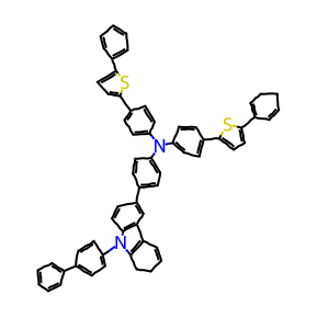 C1=CC(c2ccc(-c3ccc(N(c4ccc(-c5ccc6c(c5)c5c(n6-c6ccc(-c7ccccc7)cc6)CCC=C5)cc4)c4ccc(-c5ccc(-c6ccccc6)s5)cc4)cc3)s2)=CCC1